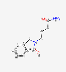 NC(=O)CCCN1Cc2ccccc2C1=O